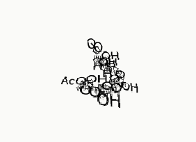 CC(=O)O[C@H]1[C@@H](O)C[C@H](O[C@H]2[C@@H](O)C[C@H](O[C@H]3[C@@H](O)C[C@H](O[C@H]4CC[C@@]5(C)[C@H](CC[C@@H]6[C@@H]5C[C@@H](O)[C@]5(C)[C@@H](C7=CC(=O)OC7)CC[C@]65O)C4)O[C@@H]3C)O[C@@H]2C)O[C@@H]1C